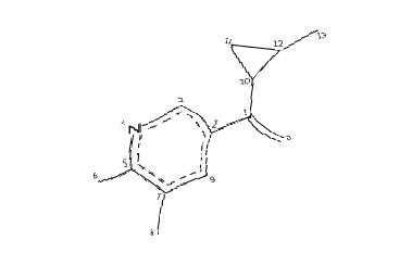 C=C(c1cnc(C)c(C)c1)C1CC1C